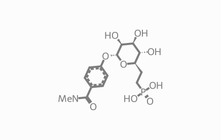 CNC(=O)c1ccc(O[C@H]2O[C@H](CCP(=O)(O)O)[C@@H](O)[C@H](O)[C@@H]2O)cc1